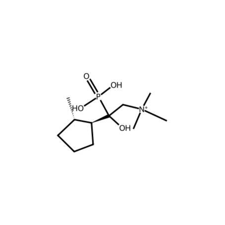 C[C@H]1CCC[C@@H]1C(O)(C[N+](C)(C)C)P(=O)(O)O